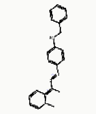 CC(/N=N/c1ccc(NCc2ccccc2)cc1)=C1/C=CC=CN1C